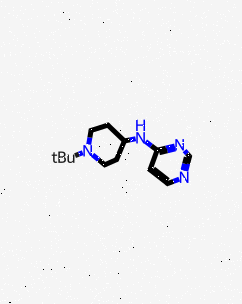 CC(C)(C)N1CCC(Nc2ccncn2)CC1